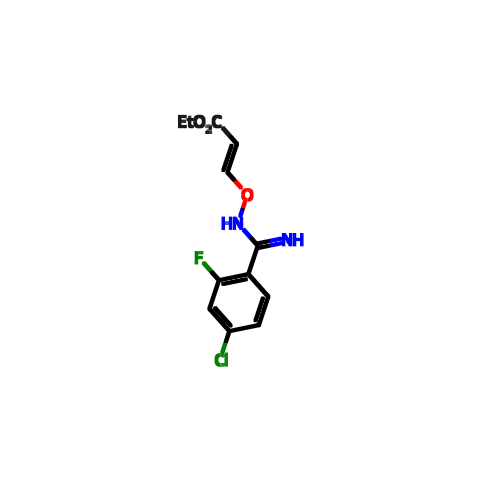 CCOC(=O)C=CONC(=N)c1ccc(Cl)cc1F